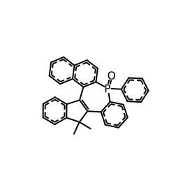 CC1(C)C2=C(c3ccccc31)c1c(ccc3ccccc13)P(=O)(c1ccccc1)c1ccccc12